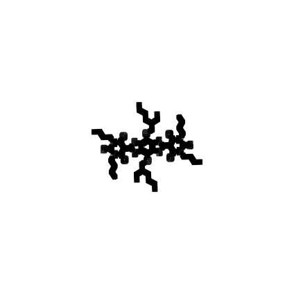 CCCCC(CC)COc1c2c(c(OCC(CC)CCCC)c3c1SC(=C1C(=O)N(CCCC)C(=S)N(CCCC)C1=O)S3)SC(=C1C(=O)N(CCCC)C(=S)N(CCCC)C1=O)S2